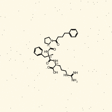 C[C@@](Cc1ccccc1)(NC(=O)[C@@H]1CCCN1C(=O)CCCc1ccccc1)C(=O)N[C@@H](CCCNC(=N)N)C(=O)O